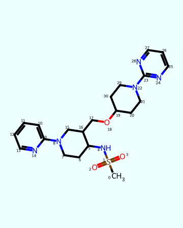 CS(=O)(=O)NC1CCN(c2ccccn2)CC1COC1CCN(c2ncccn2)CC1